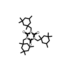 CC1CC(C)(C)CC(C)(Cn2c(=O)n(CC3(C)CC(C)CC(C)(C)C3)c(=O)n(CC3(C)CC(C)CC(C)(C)C3)c2=O)C1